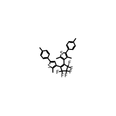 Cc1ccc(-c2cc(C3=C(c4c(C)sc(-c5ccc(C)cc5)c4C)C(F)(F)C(F)(F)C3(F)F)c(C)s2)cc1